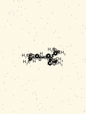 CCC(C)(C)C(=O)C(=O)N1CCCC[C@H]1C(=O)O[C@H](CCc1ccc(OC)c(OC)c1)c1cccc(OCCNC(=O)c2cccc(NC(=O)[C@@H]3C[C@H](C)CN3C(C)=O)c2)c1